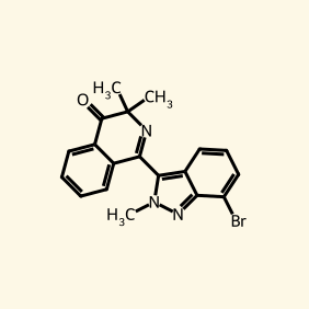 Cn1nc2c(Br)cccc2c1C1=NC(C)(C)C(=O)c2ccccc21